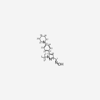 CC(C)(C)n1nc(C=NO)cc1-c1ccc(N2CCCCC2)cc1